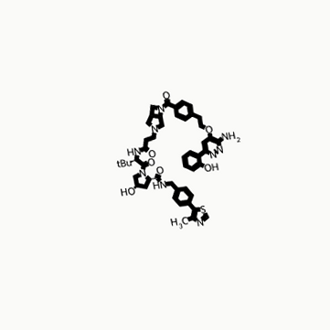 Cc1ncsc1-c1ccc(CNC(=O)[C@@H]2C[C@@H](O)CN2C(=O)[C@@H](NC(=O)CCN2CC3CN(C(=O)c4ccc(CCOc5cc(-c6ccccc6O)nnc5N)cc4)C3C2)C(C)(C)C)cc1